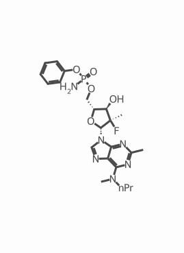 CCCN(C)c1nc(C)nc2c1ncn2[C@@H]1O[C@H](COP(N)(=O)Oc2ccccc2)[C@@H](O)[C@@]1(C)F